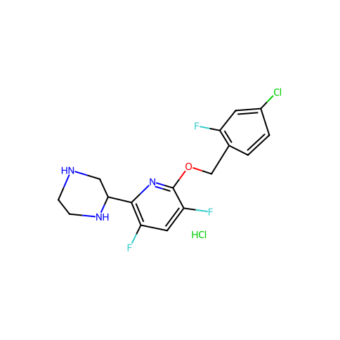 Cl.Fc1cc(Cl)ccc1COc1nc(C2CNCCN2)c(F)cc1F